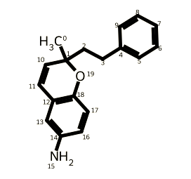 CC1(CCc2ccccc2)C=Cc2cc(N)ccc2O1